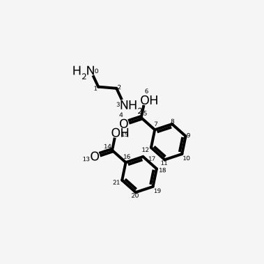 NCCN.O=C(O)c1ccccc1.O=C(O)c1ccccc1